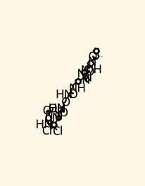 C[C@H](CC(=O)N1CCC(O)(Cn2cnc3c(-c4ccc(CNCC(=O)NCCOCCNC(=O)Cn5ccc(-c6cc(Cl)c(Cl)c7[nH]c8c(c67)CN(C(=O)CO)CC8)n5)cc4)n(C)nc3c2=O)CC1)c1ccccc1